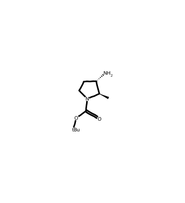 C[C@@H]1[C@@H](N)CCN1C(=O)OC(C)(C)C